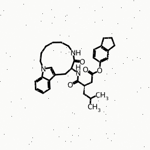 CC(C)C[C@H](CC(=O)Oc1ccc2c(c1)CCC2)C(=O)NC1Cc2cn(c3ccccc23)CCCCCCNC1=O